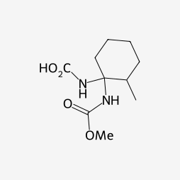 COC(=O)NC1(NC(=O)O)CCCCC1C